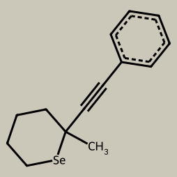 CC1(C#Cc2ccccc2)CCCC[Se]1